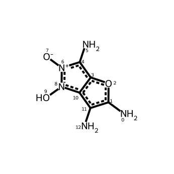 Nc1oc2c(N)[n+]([O-])n(O)c2c1N